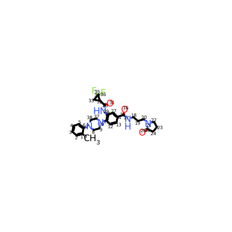 Cc1ccccc1N1CCN(c2ccc(C(=O)NCCCN3CCCC3=O)cc2NC(=O)C2CC2(F)F)CC1